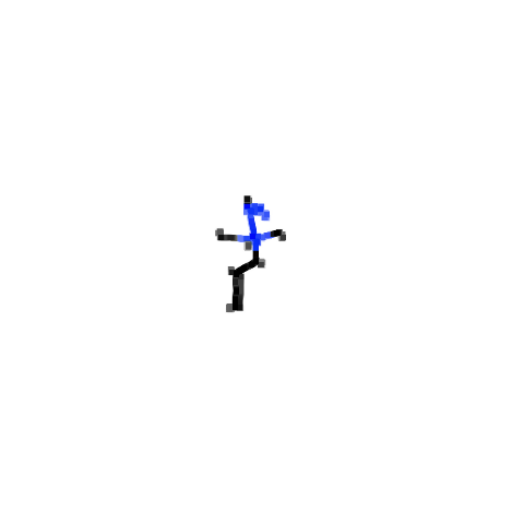 C=CC[N+](C)(C)N